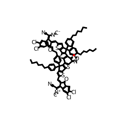 [C-]#[N+]/C(C#N)=C1\C(=C\c2cc3c(s2)-c2sc4c(c2C3(c2ccc(CCCCCC)cc2)c2ccc(CCCCCC)cc2)c2nonc2c2sc3c(c24)C(c2ccc(CCCCCC)cc2)(c2ccc(CCCCCC)cc2)c2cc(/C=C4\C(=O)c5cc(Cl)c(Cl)cc5\C4=C(\C#N)[N+]#[C-])sc2-3)C(=O)c2cc(Cl)c(Cl)cc21